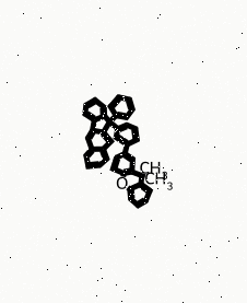 CC1(C)c2ccccc2Oc2ccc(-c3cccc(C4(c5ccccc5)c5ccccc5-c5cc6ccccc6cc54)c3)cc21